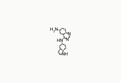 Nc1ccc2ncnc(Nc3ccc4[nH]ccc4c3)c2c1